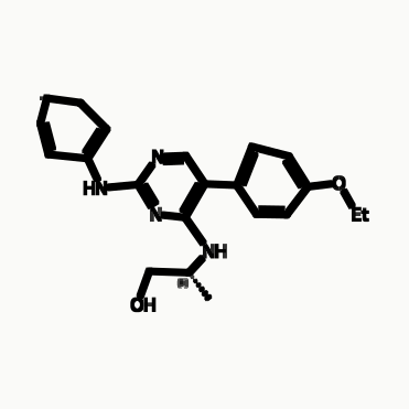 CCOc1ccc(-c2cnc(NC3=CC[CH]C=C3)nc2N[C@H](C)CO)cc1